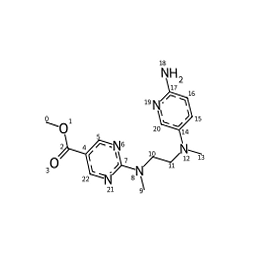 COC(=O)c1cnc(N(C)CCN(C)c2ccc(N)nc2)nc1